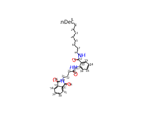 CCCCCCCCCCCCCCCCCCNC(=O)c1ccccc1NC(=O)CCCN1C(=O)c2ccccc2C1=O